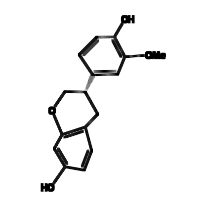 COc1cc([C@H]2COc3cc(O)ccc3C2)ccc1O